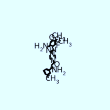 COc1cc2c(N)nc(N3CCN(C(=O)C[C@@H](N)c4cccc(C)c4)CC3)nc2c(F)c1OC